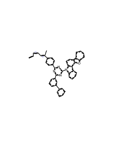 C=C/C=C\C=C(/C)c1ccc(-c2nc(-c3cccc(-c4ccccc4)c3)nc(-n3c4ccccc4c4c5oc6ccccc6c5ccc43)n2)cc1